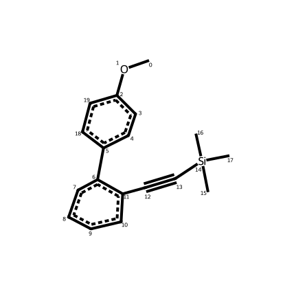 COc1ccc(-c2ccccc2C#C[Si](C)(C)C)cc1